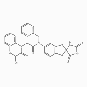 CCC1Oc2ccccc2N(CC(=O)N(Cc2ccccc2)c2ccc3c(c2)CC2(C3)NC(=O)NC2=O)C1=O